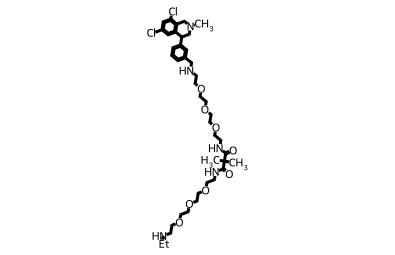 CCNCCOCCOCCOCCNC(=O)C(C)(C)C(=O)NCCOCCOCCOCCNCc1cccc(C2CN(C)Cc3c(Cl)cc(Cl)cc32)c1